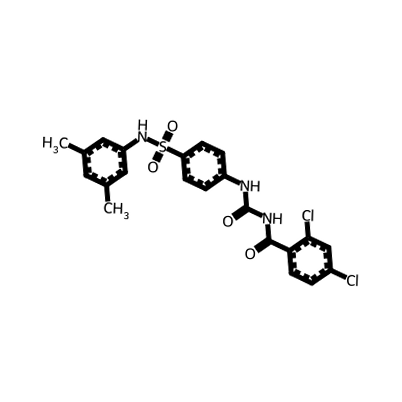 Cc1cc(C)cc(NS(=O)(=O)c2ccc(NC(=O)NC(=O)c3ccc(Cl)cc3Cl)cc2)c1